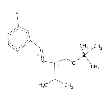 CC(C)[C@@H](CO[Si](C)(C)C)/N=C/c1cccc(F)c1